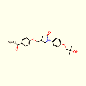 COC(=O)c1ccc(OCC2CC(=O)N(c3ccc(OCC(C)(C)O)cc3)C2)cc1